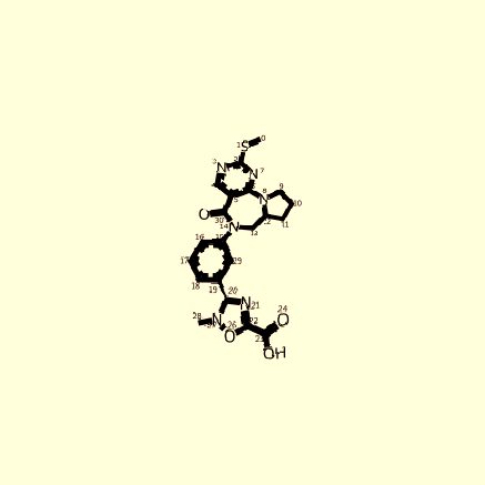 CSc1ncc2c(n1)N1CCCC1CN(c1cccc([C@H]3N=C(C(=O)O)ON3C)c1)C2=O